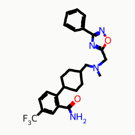 CN(Cc1nc(-c2ccccc2)no1)CC1CCC(c2ccc(C(F)(F)F)cc2C(N)=O)CC1